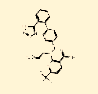 CCCN(Cc1ccc(-c2ccccc2-c2nnn[nH]2)cc1)c1nc(C(F)(F)F)ccc1C(=O)O